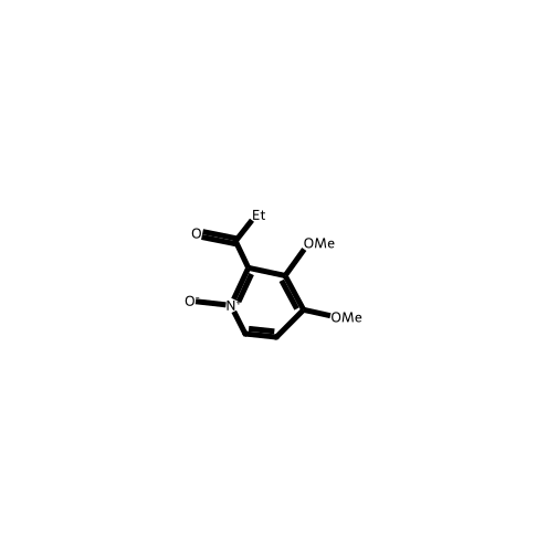 CCC(=O)c1c(OC)c(OC)cc[n+]1[O-]